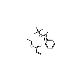 C=CC(=O)OCC.C[SiH](O[Si](C)(C)C)c1ccccc1